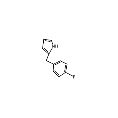 Fc1ccc(Cc2ccc[nH]2)cc1